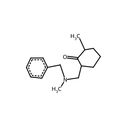 CC1CCCC(CN(C)Cc2ccccc2)C1=O